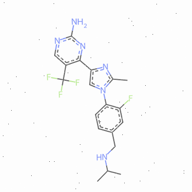 Cc1nc(-c2nc(N)ncc2C(F)(F)F)cn1-c1ccc(CNC(C)C)cc1F